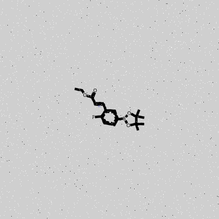 CCOC(=O)/C=C/c1cc(B2OC(C)(C)C(C)(C)O2)ccc1F